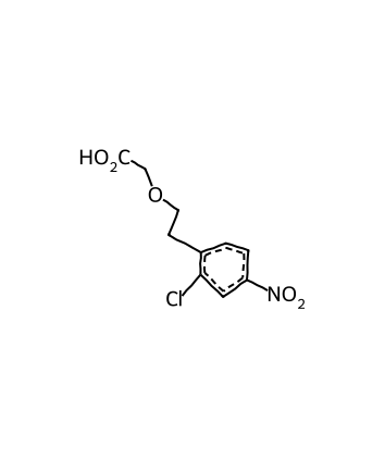 O=C(O)COCCc1ccc([N+](=O)[O-])cc1Cl